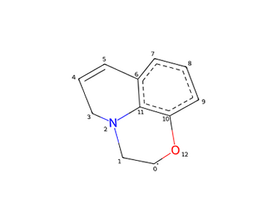 [CH]1CN2CC=Cc3cccc(c32)O1